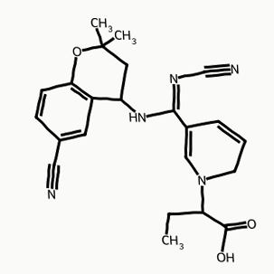 CCC(C(=O)O)N1C=C(C(=NC#N)NC2CC(C)(C)Oc3ccc(C#N)cc32)C=CC1